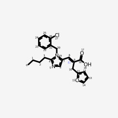 CCCCc1ncc(/C=C(\Cc2ccco2)C(=O)O)n1Cc1ccccc1Cl